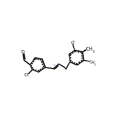 Cc1cc(C/C=C/c2ccc(C=O)c(Cl)c2)cc(Cl)c1C